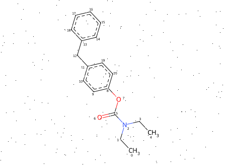 CCN(CC)C(=O)Oc1ccc(Cc2ccccc2)cc1